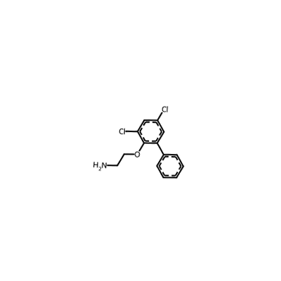 NCCOc1c(Cl)cc(Cl)cc1-c1ccccc1